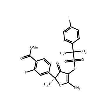 BC(B)(c1ccc(F)cc1)S(=O)(=O)OC1=C(N)O[C@@](B)(c2ccc(C(=O)OC)c(F)c2)C1=O